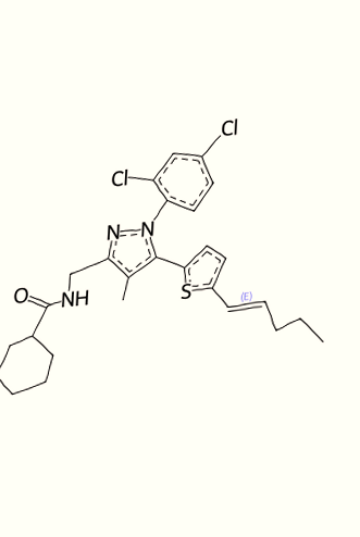 CCC/C=C/c1ccc(-c2c(C)c(CNC(=O)C3CCCCC3)nn2-c2ccc(Cl)cc2Cl)s1